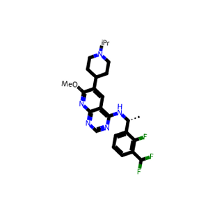 COc1nc2ncnc(N[C@H](C)c3cccc(C(F)F)c3F)c2cc1C1CCN(C(C)C)CC1